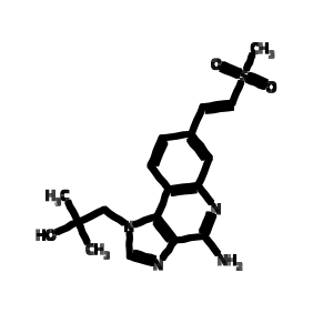 CC(C)(O)Cn1cnc2c(N)nc3cc(C=CS(C)(=O)=O)ccc3c21